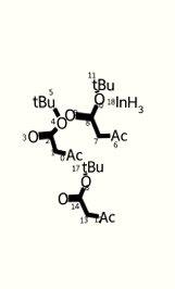 CC(=O)CC(=O)OC(C)(C)C.CC(=O)CC(=O)OC(C)(C)C.CC(=O)CC(=O)OC(C)(C)C.[InH3]